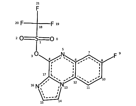 O=S(=O)(Oc1nc2cc(F)ccc2n2ccnc12)C(F)(F)F